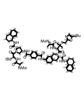 CN[C@@H](C)C(=O)N[C@H](C(=O)N1C[C@@H](NC(=O)c2ccc(C(=O)Nc3ccc4c(c3)CN(C(=O)[C@@H](NC(=O)[C@H](C)NC)C(C)(C)SCc3ncc(C(C)(C)C)o3)[C@H](C(=O)N[C@@H]3CCCc5ccccc53)C4)cc2)C[C@H]1C(=O)N[C@@H]1CCCc2ccccc21)C(C)(C)C